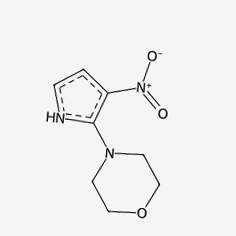 O=[N+]([O-])c1cc[nH]c1N1CCOCC1